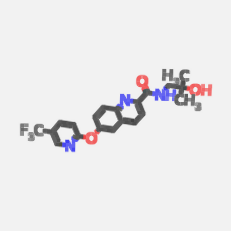 CC(C)(O)CNC(=O)c1ccc2cc(Oc3ccc(C(F)(F)F)cn3)ccc2n1